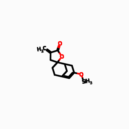 C=C1CC2(CCC3=C=C(O[SiH3])CC2C3)OC1=O